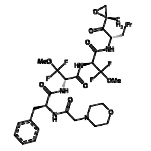 COC(F)(F)[C@@H](NC(=O)[C@H](Cc1ccccc1)NC(=O)CN1CCOCC1)C(=O)N[C@@H](C(=O)N[C@@H](CC(C)C)C(=O)[C@@]1(C)CO1)C(F)(F)OC